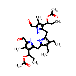 CCc1c(Cc2[nH]c(C=O)c(C)c2C(CC)OC(C)=O)[nH]c(Cc2[nH]c(C=O)c(C)c2C(CC)OC(C)=O)c1CC